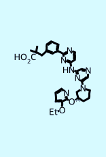 CCOc1cccnc1O[C@@H]1CCCN(c2cncc(Nc3ccnc(-c4cccc(CC(C)(C)C(=O)O)c4)n3)n2)C1